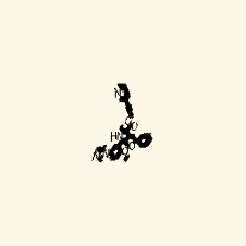 CCOC(=O)C1=C(c2cccc(-n3ccnc3)c2)NC(C)=C(C(=O)OCC#Cc2cccnc2)C1CCc1ccccc1